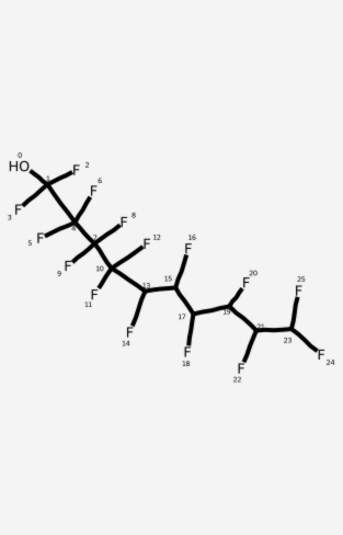 OC(F)(F)C(F)(F)C(F)(F)C(F)(F)C(F)C(F)C(F)C(F)C(F)C(F)F